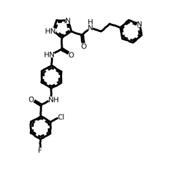 O=C(Nc1ccc(NC(=O)c2[nH]cnc2C(=O)NCCc2cccnc2)cc1)c1ccc(F)cc1Cl